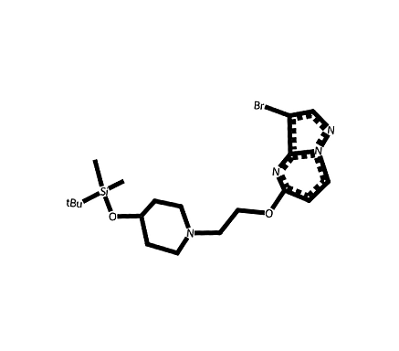 CC(C)(C)[Si](C)(C)OC1CCN(CCOc2ccn3ncc(Br)c3n2)CC1